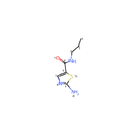 CCCNC(=O)c1cnc(N)s1